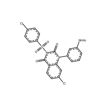 CC(=O)Nc1cccc(-n2c(=O)n(S(=O)(=O)c3ccc(Cl)cc3)c(=O)c3ccc(Cl)cc32)c1